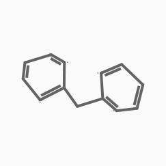 [c]1ccc[c]c1Cc1[c]ccc[c]1